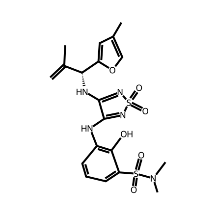 C=C(C)[C@@H](NC1=NS(=O)(=O)N=C1Nc1cccc(S(=O)(=O)N(C)C)c1O)c1cc(C)co1